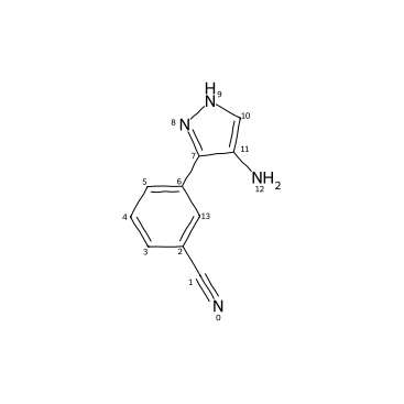 N#Cc1cccc(-c2n[nH]cc2N)c1